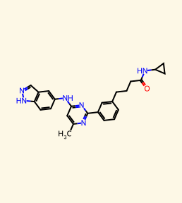 Cc1cc(Nc2ccc3[nH]ncc3c2)nc(-c2cccc(CCCC(=O)NC3CC3)c2)n1